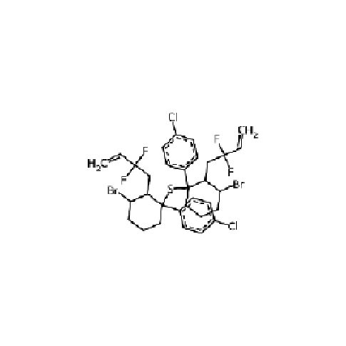 C=CC(F)(F)CC1C(Br)CCCC1(SC1(c2ccc(Cl)cc2)CCCC(Br)C1CC(F)(F)C=C)c1ccc(Cl)cc1